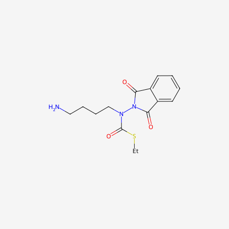 CCSC(=O)N(CCCCN)N1C(=O)c2ccccc2C1=O